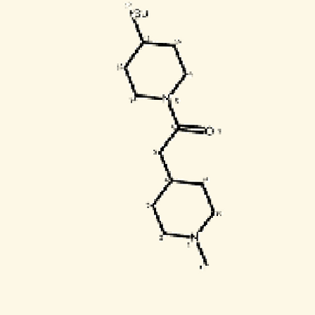 CN1CCC(CC(=O)N2CCC(C(C)(C)C)CC2)CC1